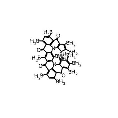 BC1=C(B)C(B)c2c1c(=O)c1c(B)cc(B)c3c(=O)c4c(B)c5c(=O)c6c(B)cc(B)c7c(=O)c8c(B)c(B)c(B)c(B)c8n(c5c(B)c4n2c13)c76